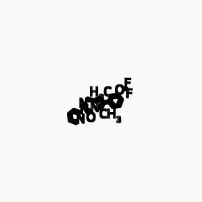 Cc1c(OC(F)F)cccc1-c1cc2cnn(-c3ccccn3)c(=O)n2c1C